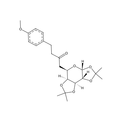 COc1ccc(CCC(=O)C[C@H]2O[C@@H]3OC(C)(C)O[C@@H]3[C@H]3OC(C)(C)O[C@H]32)cc1